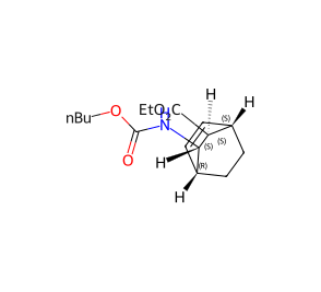 CCCCOC(=O)N[C@@H]1[C@@H](C(=O)OCC)[C@@H]2C=C[C@H]1CC2